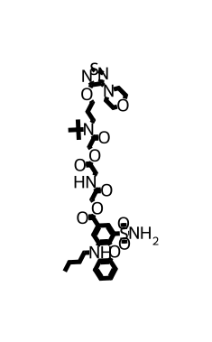 CCCCNc1cc(C(=O)OCC(=O)NCC(=O)OCC(=O)N(CCCOc2nsnc2N2CCOCC2)C(C)(C)C)cc(S(N)(=O)=O)c1Oc1ccccc1